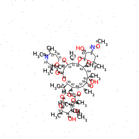 CON=C1C[C@@H](C)O[C@@H](O[C@@H]2[C@@H](C)[C@H](O[C@H]3C[C@H](C)N(C)C[C@H](C)O3)[C@@H](C)C(=O)O[C@H](C(C)CO[C@@H]3O[C@H](C)[C@@H](O)[C@@H](OC)[C@H]3OC)[C@H](C)[C@@H](OC(=O)CC(C)C)[C@@H](C)C(=O)[C@@](C)(O)C[C@@H]2C)[C@@H]1O